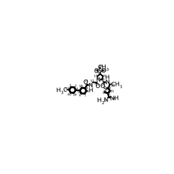 Cc1ccc(-c2cccc(C(=O)NCC(=O)N3CC(S(C)(=O)=O)C[C@H]3C(=O)N[C@H](C)c3cc(C(=N)N)cs3)c2)cc1